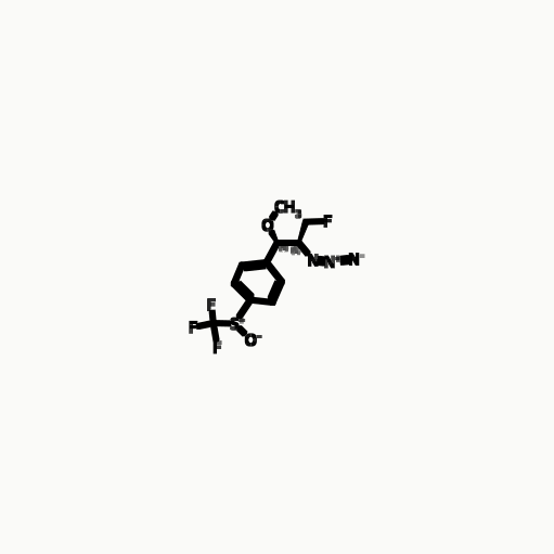 CO[C@H](c1ccc([S+]([O-])C(F)(F)F)cc1)[C@@H](CF)N=[N+]=[N-]